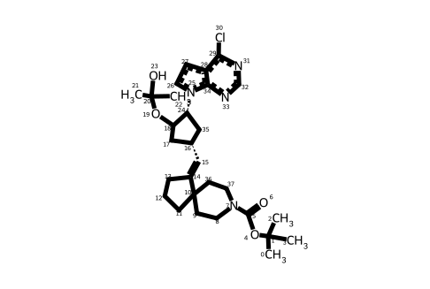 CC(C)(C)OC(=O)N1CCC2(CCC/C2=C\[C@@H]2CC(OC(C)(C)O)[C@H](n3ccc4c(Cl)ncnc43)C2)CC1